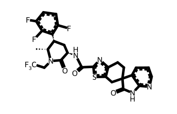 C[C@@H]1[C@H](c2c(F)ccc(F)c2F)C[C@H](NC(=O)c2nc3c(s2)CC2(CC3)C(=O)Nc3ncccc32)C(=O)N1CC(F)(F)F